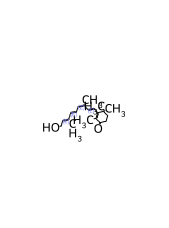 CC1=C(/C=C/C(C)=C\C=C\C(C)=C\CO)C(C)(C)CCC1=O